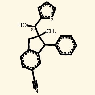 CC1([C@@H](O)c2cccs2)Cc2ccc(C#N)cc2C1c1ccccc1